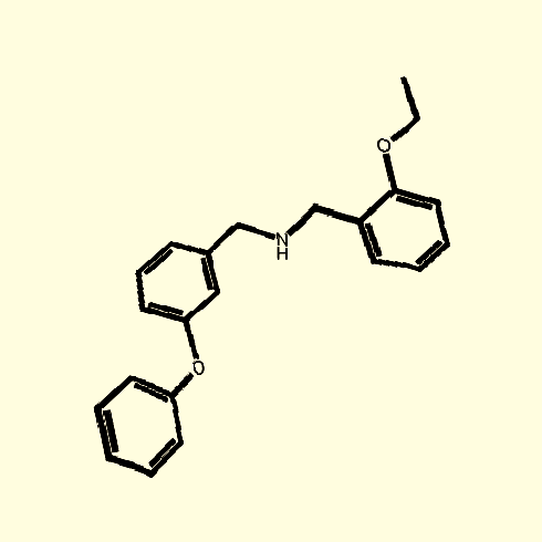 CCOc1ccccc1CNCc1cccc(Oc2ccccc2)c1